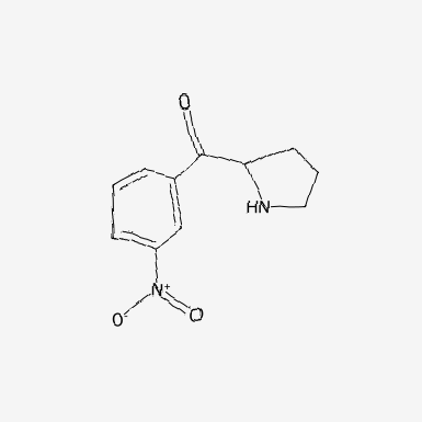 O=C(c1cccc([N+](=O)[O-])c1)C1CCCN1